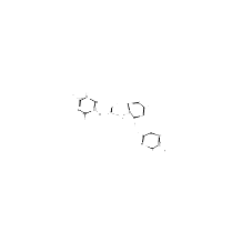 Nc1ccc(Sc2ccccc2NC(=O)Nc2ccc(F)cc2F)cc1